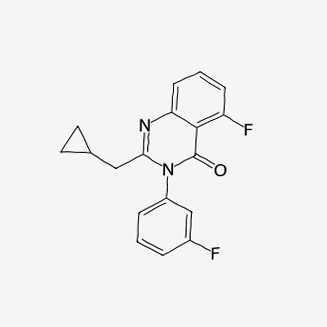 O=c1c2c(F)cccc2nc(CC2CC2)n1-c1cccc(F)c1